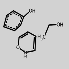 C1=CNOC=C1.CCO.Oc1ccccc1